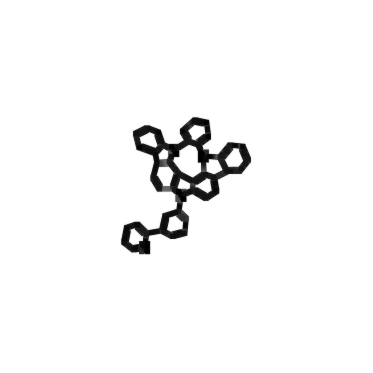 c1ccc(-c2cccc(-n3c4ccc5c6ccccc6n6c7ccccc7n7c8ccccc8c8ccc3c(c4c56)c87)c2)nc1